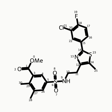 COC(=O)c1cc(S(=O)(=O)NCCc2nc(-c3ccc(F)c(Cl)c3)sc2C)cc(C)c1C